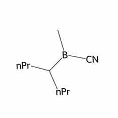 CCCC(CCC)B(C)C#N